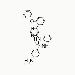 Nc1ccc(C(=O)Nc2ccccc2Nc2cc(-c3ccccc3Oc3ccccc3)ncn2)cc1